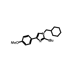 COc1ccc(-c2cn(CC3CCCCC3)c(C(C)(C)C)n2)cc1